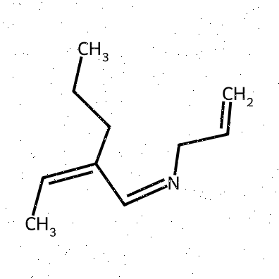 C=CC/N=C\C(=C/C)CCC